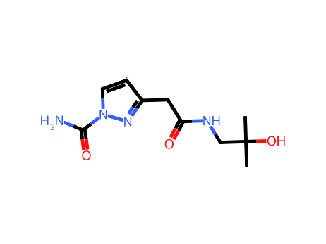 CC(C)(O)CNC(=O)Cc1[c]cn(C(N)=O)n1